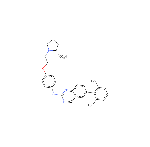 Cc1cccc(C)c1-c1ccc2nc(Nc3ccc(OCCN4CCC[C@@H]4C(=O)O)cc3)ncc2c1